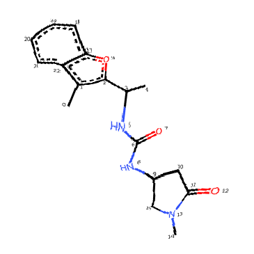 Cc1c(C(C)NC(=O)NC2CC(=O)N(C)C2)oc2ccccc12